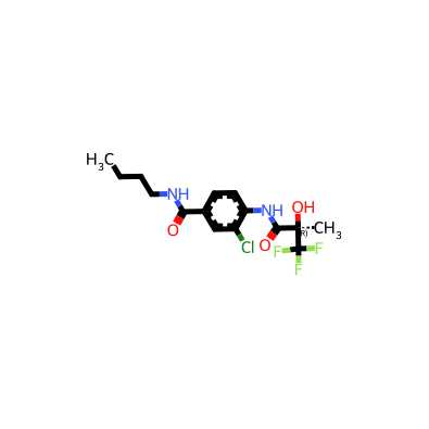 CCCCNC(=O)c1ccc(NC(=O)[C@@](C)(O)C(F)(F)F)c(Cl)c1